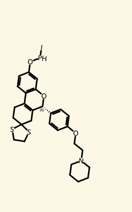 IPOc1ccc2c(c1)O[C@H](c1ccc(OCCN3CCCCC3)cc1)C1=C2CCC2(C1)SCCS2